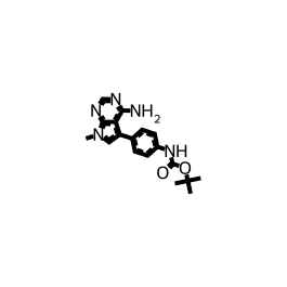 Cn1cc(-c2ccc(NC(=O)OC(C)(C)C)cc2)c2c(N)ncnc21